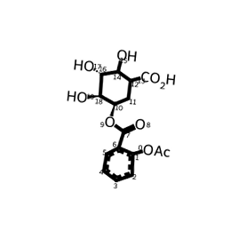 CC(=O)Oc1ccccc1C(=O)O[C@@H]1CC(C(=O)O)C(O)[C@@H](O)[C@@H]1O